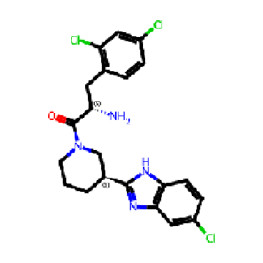 N[C@@H](Cc1ccc(Cl)cc1Cl)C(=O)N1CCC[C@H](c2nc3cc(Cl)ccc3[nH]2)C1